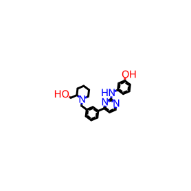 OCC1CCCCN1Cc1cccc(-c2ccnc(Nc3cccc(O)c3)n2)c1